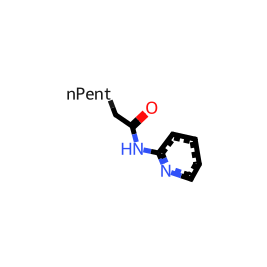 CCCCCCC(=O)Nc1ccccn1